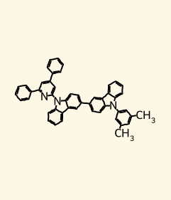 Cc1cc(C)cc(-n2c3ccccc3c3cc(-c4ccc5c(c4)c4ccccc4n5-c4cc(-c5ccccc5)cc(-c5ccccc5)n4)ccc32)c1